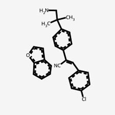 CC(C)(CN)c1ccc(/C(C#N)=C/c2ccc(Cl)cc2)cc1.c1ccc2occc2c1